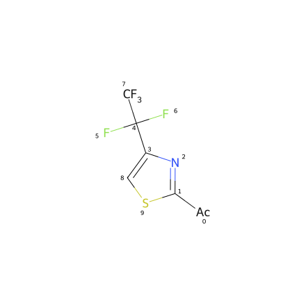 CC(=O)c1nc(C(F)(F)C(F)(F)F)cs1